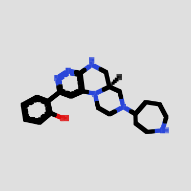 Oc1ccccc1-c1cc2c(nn1)NC[C@H]1CN(C3CCCNCC3)CCN21